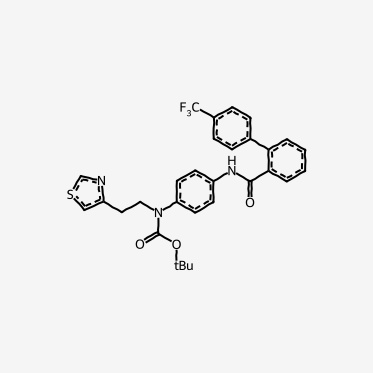 CC(C)(C)OC(=O)N(CCc1cscn1)c1ccc(NC(=O)c2ccccc2-c2ccc(C(F)(F)F)cc2)cc1